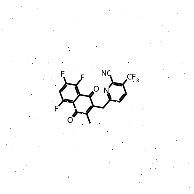 CC1=C(Cc2ccc(C(F)(F)F)c(C#N)n2)C(=O)c2c(F)c(F)cc(F)c2C1=O